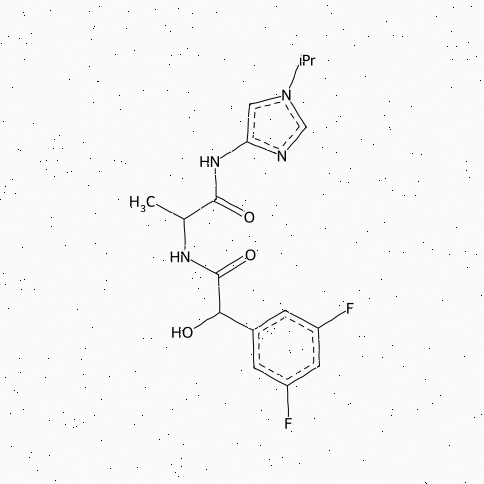 CC(NC(=O)C(O)c1cc(F)cc(F)c1)C(=O)Nc1cn(C(C)C)cn1